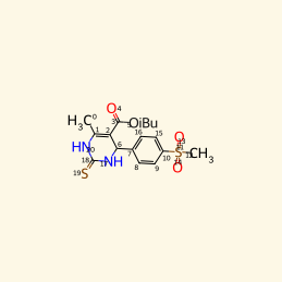 CC1=C(C(=O)OCC(C)C)C(c2ccc(S(C)(=O)=O)cc2)NC(=S)N1